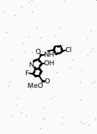 COC(=O)c1cc(F)c2ncc(C(=O)NCc3ccc(Cl)cc3)c(O)c2c1